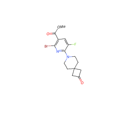 COC(=O)c1cc(F)c(N2CCC3(CC2)CC(=O)C3)nc1Br